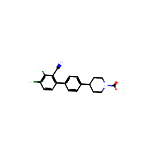 N#Cc1c(-c2ccc(C3CCN(C(=O)O)CC3)cc2)ccc(Br)c1F